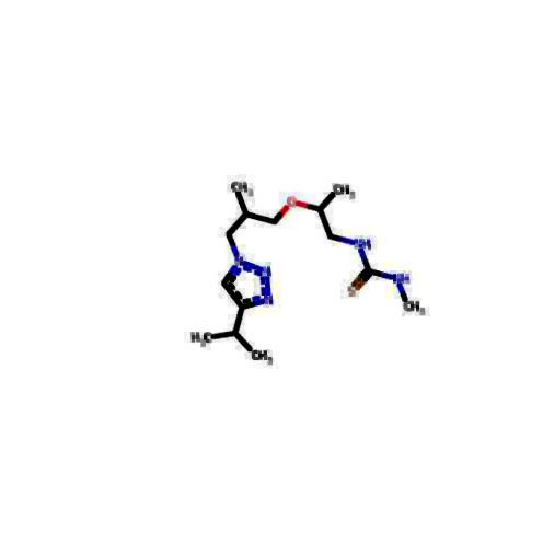 CNC(=S)NCC(C)OCC(C)Cn1cc(C(C)C)nn1